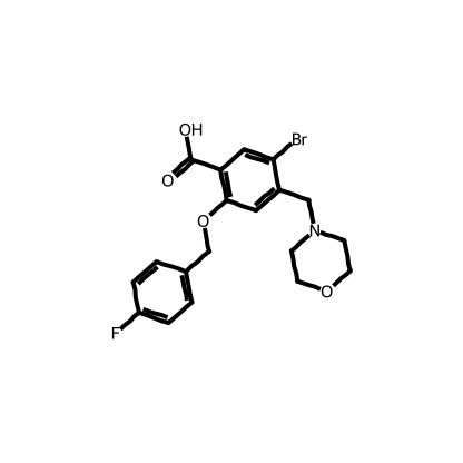 O=C(O)c1cc(Br)c(CN2CCOCC2)cc1OCc1ccc(F)cc1